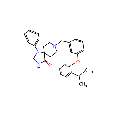 CC(C)c1ccccc1Oc1cccc(CN2CCC3(CC2)C(=O)NCN3c2ccccc2)c1